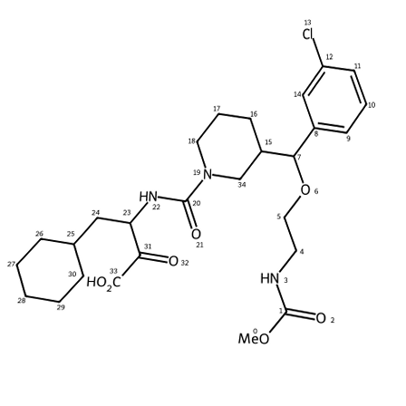 COC(=O)NCCOC(c1cccc(Cl)c1)C1CCCN(C(=O)NC(CC2CCCCC2)C(=O)C(=O)O)C1